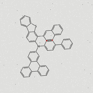 c1ccc(-c2ccc(N(c3ccc4c5ccccc5c5ccccc5c4c3)c3ccc4c(sc5ccccc54)c3-c3ccc4ccccc4c3)cc2)cc1